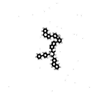 CC1=C(c2ccc3ccc(-c4cccc5oc6ccc(-c7ccc8c(c7)-c7ccccc7CC8)cc6c45)cc3c2)N=C(c2ccc(-c3ccccc3)cc2)N=C(c2ccc3c(ccc4ccccc43)c2)C1